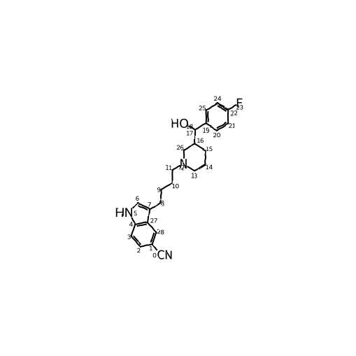 N#Cc1ccc2[nH]cc(CCCCN3CCCC(C(O)c4ccc(F)cc4)C3)c2c1